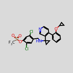 O=S(=O)(Oc1cc(Cl)c(CNC2(c3cnccc3-c3ccccc3OC3CC3)CC2)cc1Cl)C(F)(F)F